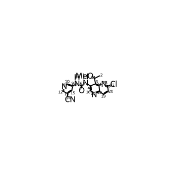 COC(C)c1c(NC(=O)Nc2cncc(C#N)c2)cnc2ccc(Cl)nc12